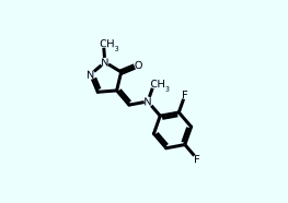 CN1N=CC(=CN(C)c2ccc(F)cc2F)C1=O